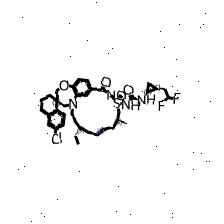 CC[C@H]1C/C=C/C[C@H](C)CS(=O)(NC(=O)N[C@@H]2C[C@H]2CC(F)F)=NC(=O)c2ccc3c(c2)N(CC1)C[C@@]1(CCCc2cc(Cl)ccc21)CO3